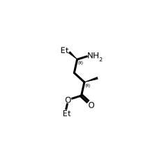 CCOC(=O)[C@H](C)C[C@H](N)CC